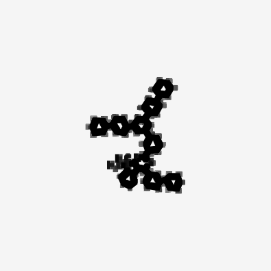 C[Si]1(C)c2ccccc2-c2c(-c3cccc(-c4ccccc4)c3)nc(-c3cccc(-c4cc(-c5ccc(-c6ccccc6)cc5)cc(-c5ccc(-c6ccccc6)cc5)c4)c3)nc21